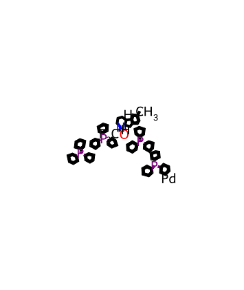 Cc1ccc2c(c1)[C@H]1CCCN(C(=O)C(F)(F)F)[C@H]1C2.[Pd].c1ccc(P(c2ccccc2)c2ccccc2)cc1.c1ccc(P(c2ccccc2)c2ccccc2)cc1.c1ccc(P(c2ccccc2)c2ccccc2)cc1.c1ccc(P(c2ccccc2)c2ccccc2)cc1